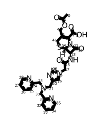 CC(=O)OCC1=C(C(=O)O)N2C(=O)[C@@H](NC(=O)Cn3cc(CN(Cc4ccccn4)Cc4ccccn4)nn3)[C@@H]2SC1